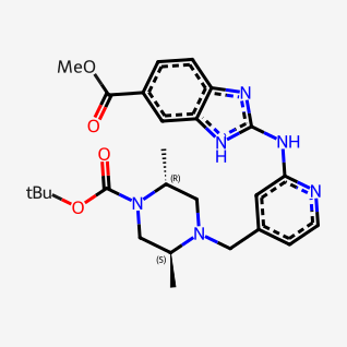 COC(=O)c1ccc2nc(Nc3cc(CN4C[C@@H](C)N(C(=O)OC(C)(C)C)C[C@@H]4C)ccn3)[nH]c2c1